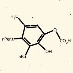 CCCCCc1c(C)cc(OC(=O)O)c(O)c1CCCC